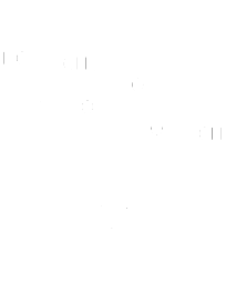 CCOC(=O)COc1c(CCC2CC2)cccc1C(C)C